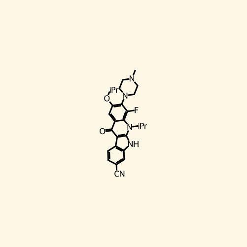 CC(C)Oc1cc2c(=O)c3c4ccc(C#N)cc4[nH]c3n(C(C)C)c2c(F)c1N1CCN(C)CC1